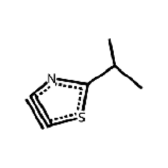 CC(C)c1nc#cs1